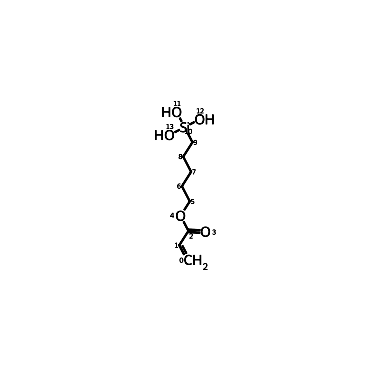 C=CC(=O)OCCCCC[Si](O)(O)O